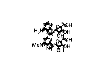 CNc1ncnc2c1ncn2[C@@H]1O[C@H](CO)[C@@H](O)[C@H]1O.Nc1ncnc2c1ncn2[C@@H]1O[C@H](CO)[C@@H](O)[C@H]1O